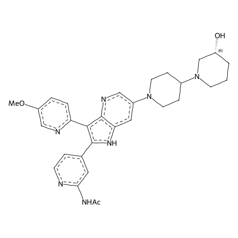 COc1ccc(-c2c(-c3ccnc(NC(C)=O)c3)[nH]c3cc(N4CCC(N5CCC[C@@H](O)C5)CC4)cnc23)nc1